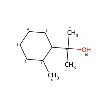 CC1CCCCC1C(C)(C)O